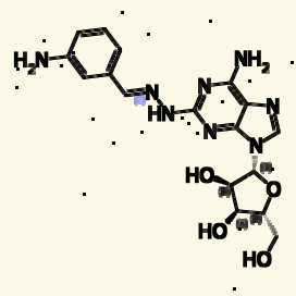 Nc1cccc(/C=N/Nc2nc(N)c3ncn([C@@H]4O[C@H](CO)[C@@H](O)[C@H]4O)c3n2)c1